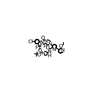 CCOc1ncccc1-c1ccc(N2CCN3C(=O)N(c4ccc(Cl)cc4C(F)(F)F)C[C@@H]3C2)c(C(=O)NC2CCN(C(=O)OC(C)(C)C)C2)n1